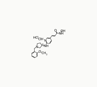 COc1ccccc1CN1CC[C@@H](Nc2ccc(C=CC(=O)NO)cn2)C1.Cl.Cl